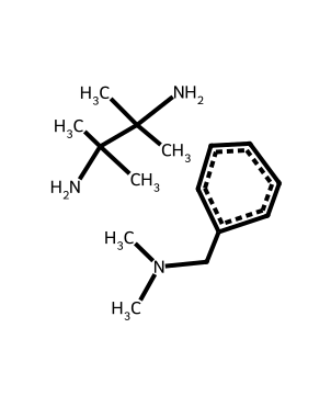 CC(C)(N)C(C)(C)N.CN(C)Cc1ccccc1